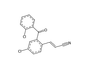 N#C/C=C/c1ccc(Cl)cc1C(=O)c1ccccc1Cl